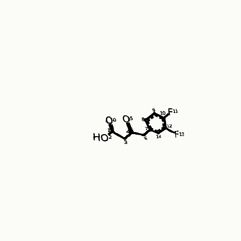 O=C(O)CC(=O)Cc1ccc(F)c(F)c1